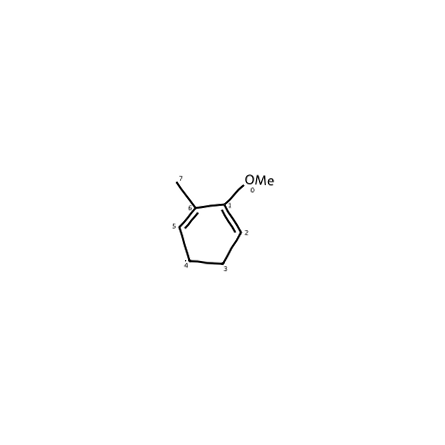 COC1=CC[CH]C=C1C